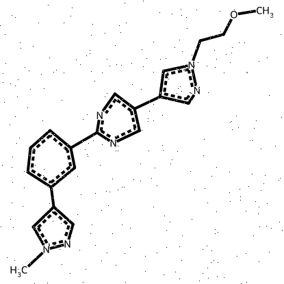 COCCn1cc(-c2cnc(-c3cccc(-c4cnn(C)c4)c3)nc2)cn1